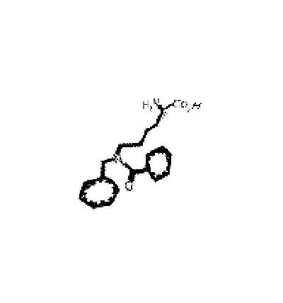 N[C@H](CCCCN(Cc1ccccc1)C(=O)c1ccccc1)C(=O)O